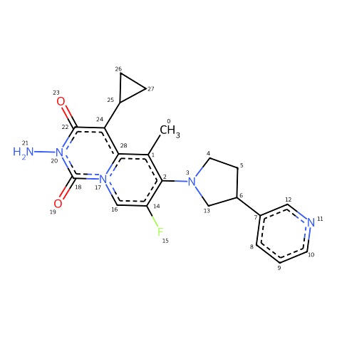 Cc1c(N2CCC(c3cccnc3)C2)c(F)cn2c(=O)n(N)c(=O)c(C3CC3)c12